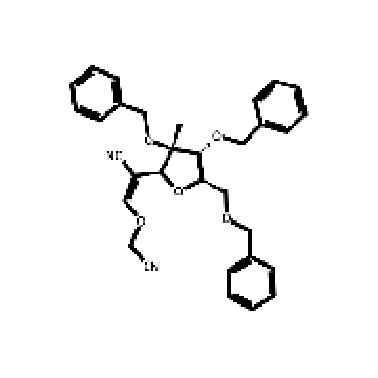 C[C@@]1(OCc2ccccc2)[C@H](OCc2ccccc2)[C@@H](COCc2ccccc2)O[C@H]1/C(C#N)=C\OCC#N